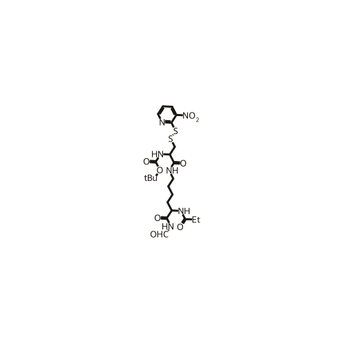 CCC(=O)NC(CCCCNC(=O)C(CSSc1ncccc1[N+](=O)[O-])NC(=O)OC(C)(C)C)C(=O)NC=O